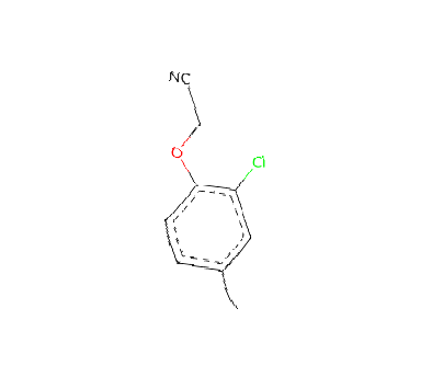 Cc1ccc(OCC#N)c(Cl)c1